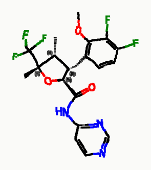 COc1c([C@@H]2[C@@H](C(=O)Nc3ccncn3)O[C@](C)(C(F)(F)F)[C@@H]2C)ccc(F)c1F